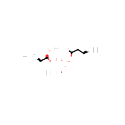 C=CCC(C)OP(OC)OOC(=O)C=C